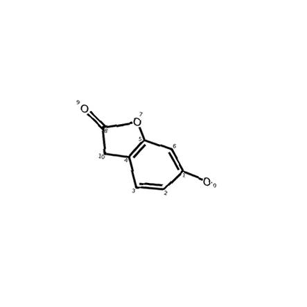 [O]c1ccc2c(c1)OC(=O)C2